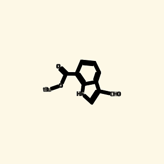 CC(C)(C)OC(=O)c1cccc2c(C=O)c[nH]c12